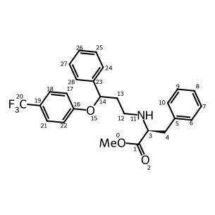 COC(=O)[C@H](Cc1ccccc1)NCCC(Oc1ccc(C(F)(F)F)cc1)c1ccccc1